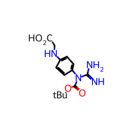 CC(C)(C)OC(=O)N(C(=N)N)c1ccc(NCC(=O)O)cc1